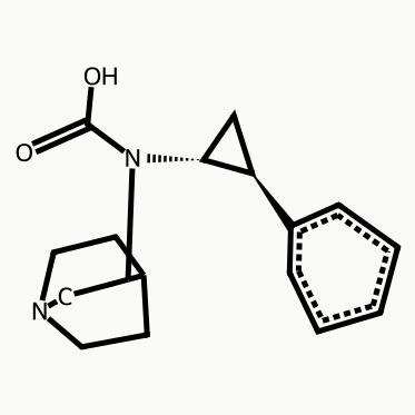 O=C(O)N(C1CN2CCC1CC2)[C@@H]1C[C@H]1c1ccccc1